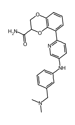 CN(C)Cc1cccc(Nc2ccc(-c3cccc4c3OC(C(N)=O)CO4)nc2)c1